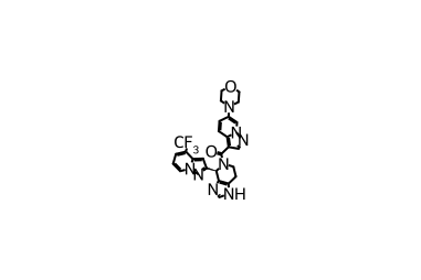 O=C(c1cnn2cc(N3CCOCC3)ccc12)N1CCc2[nH]cnc2[C@H]1c1cc2c(C(F)(F)F)cccn2n1